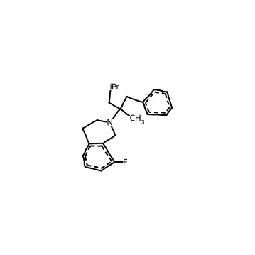 CC(C)CC(C)(Cc1ccccc1)N1CCc2cccc(F)c2C1